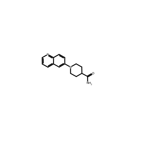 NC(=O)C1CCN(c2ccc3ncccc3c2)CC1